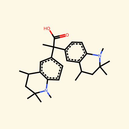 CC1CC(C)(C)N(C)c2ccc(C(C)(C(=O)O)c3ccc4c(c3)C(C)CC(C)(C)N4C)cc21